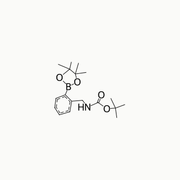 CC(C)(C)OC(=O)NCc1ccccc1B1OC(C)(C)C(C)(C)O1